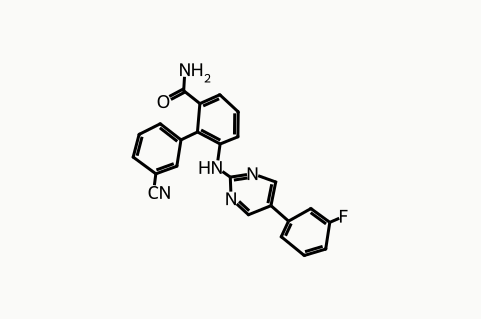 N#Cc1cccc(-c2c(Nc3ncc(-c4cccc(F)c4)cn3)cccc2C(N)=O)c1